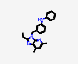 CCc1nc2c(C)cc(C)nc2n1Cc1cccc(Nc2ccccc2)c1